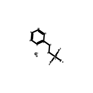 F[N+](F)(F)CCc1ccccc1.[Cl-]